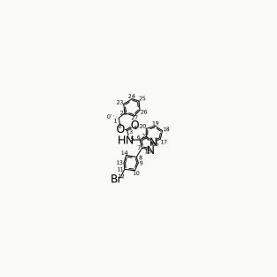 C[C@@H](OC(=O)Nc1c(-c2ccc(Br)cc2)nn2ccccc12)c1ccccc1